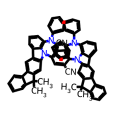 CC1(C)c2ccccc2-c2cc3c4cccc(N(c5ccccc5)c5ccccc5)c4n(-c4cc(C#N)c(-n5c6cc7c(cc6c6cccc(N(c8ccccc8)c8ccccc8)c65)-c5ccccc5C7(C)C)cc4C#N)c3cc21